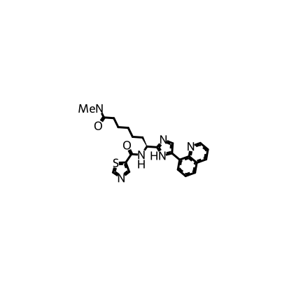 CNC(=O)CCCCC[C@H](NC(=O)c1cncs1)c1ncc(-c2cccc3cccnc23)[nH]1